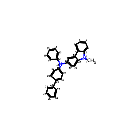 Cn1c2ccccc2c2cc(N(c3ccccc3)c3ccc(-c4ccccc4)cc3)ccc21